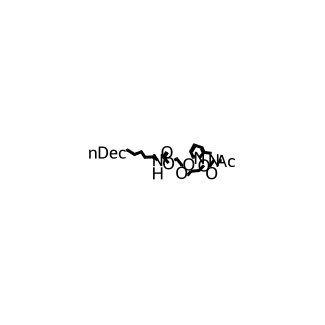 CCCCCCCCCCCCCCCNC(=O)OCC1OCC(COC(=O)N(Cc2ccccn2)C(C)=O)O1